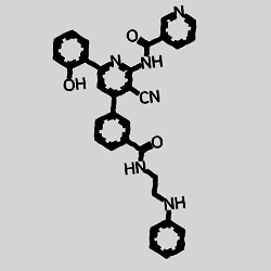 N#Cc1c(-c2cccc(C(=O)NCCNc3ccccc3)c2)cc(-c2ccccc2O)nc1NC(=O)c1cccnc1